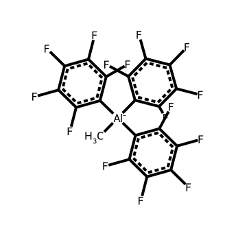 [CH3][Al-]([c]1c(F)c(F)c(F)c(F)c1F)([c]1c(F)c(F)c(F)c(F)c1F)[c]1c(F)c(F)c(F)c(F)c1F